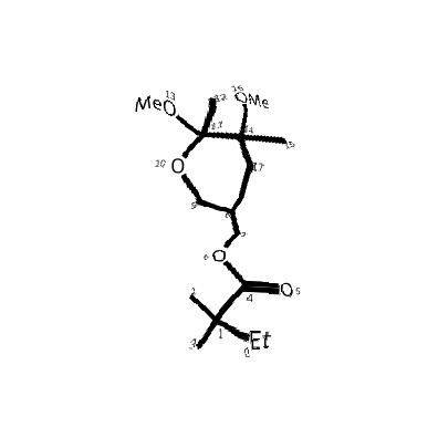 CCC(C)(C)C(=O)OCC1COC(C)(OC)C(C)(OC)C1